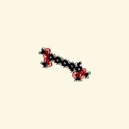 C=Cc1cc(OC(=O)C(=C)C)c(OC(=O)C(=C)C)cc1-c1ccc(-c2ccc(-c3ccc(-c4ccc(OC(=O)C(=C)C)c(OC(=O)C(=C)C)c4)cc3)cc2)cc1C